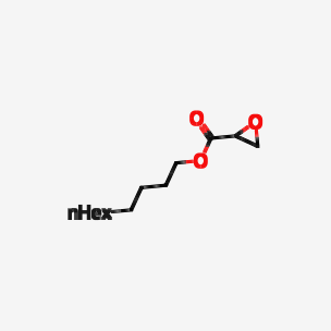 CCCCCCCCCCOC(=O)C1CO1